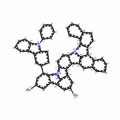 CC(C)(C)c1cc(-c2ccc3c(c2)c2ccccc2n3-c2ccccc2)c2c(c1)c1cc(C(C)(C)C)cc3c4c5c6cc7ccccc7c7c8ccc9ccccc9c8n(c5ccc4n2c13)c67